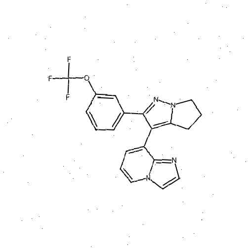 FC(F)(F)Oc1cccc(-c2nn3c(c2-c2cccn4ccnc24)CCC3)c1